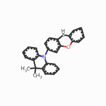 CC1(C)c2ccccc2N(c2ccc3c(c2)Oc2ccccc2B3)c2ccccc21